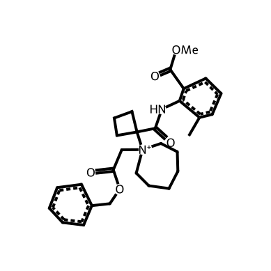 COC(=O)c1cccc(C)c1NC(=O)C1([N+]2(CC(=O)OCc3ccccc3)CCCCCC2)CCC1